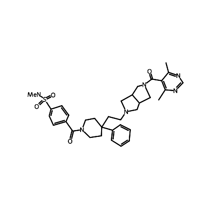 CNS(=O)(=O)c1ccc(C(=O)N2CCC(CCN3CC4CN(C(=O)c5c(C)ncnc5C)CC4C3)(c3ccccc3)CC2)cc1